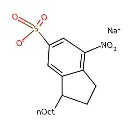 CCCCCCCCC1CCc2c1cc(S(=O)(=O)[O-])cc2[N+](=O)[O-].[Na+]